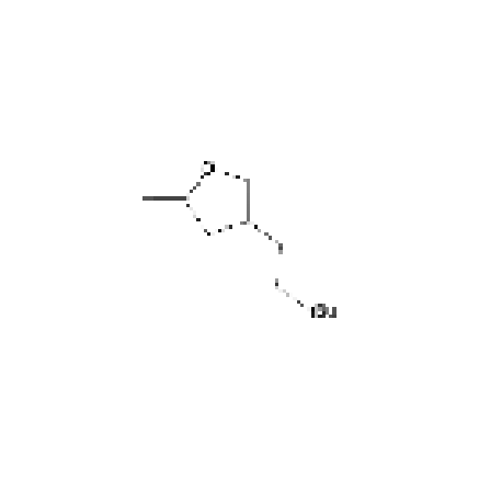 C=C1CC(CCCCCC)CO1